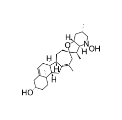 CC1=C2C[C@H]3[C@@H](CC=C4C[C@@H](O)CC[C@@]43C)[C@@H]2CC[C@@]2(C1)O[C@@H]1C[C@H](C)CN(O)[C@H]1[C@H]2C